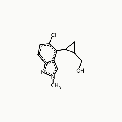 Cn1cc2c(C3CC3CO)c(Cl)ccc2n1